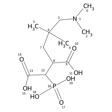 CN(C)CC(C)(C)CC(C(=O)O)C(C(=O)O)P(=O)(O)O